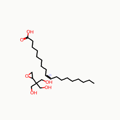 CCCCCCCC/C=C\CCCCCCCC(=O)O.OCC(CO)(CO)C1CO1